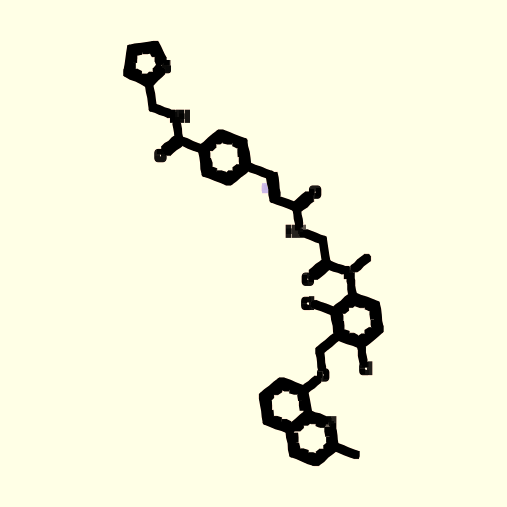 Cc1ccc2cccc(OCc3c(Cl)ccc(N(C)C(=O)CNC(=O)/C=C/c4ccc(C(=O)NCc5cccs5)cc4)c3Cl)c2n1